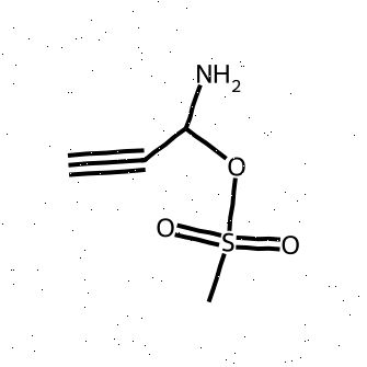 C#CC(N)OS(C)(=O)=O